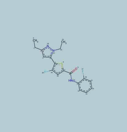 CCc1cc(-c2sc(C(=O)Nc3ccccc3F)cc2F)n(CC)n1